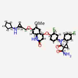 COc1cc2c(Oc3ccc(N(C(=O)C4(C(N)=O)CC4)c4ccc(F)cc4)cc3F)cc(=O)[nH]c2cc1OCC1=C(NC2CCCC2)C1